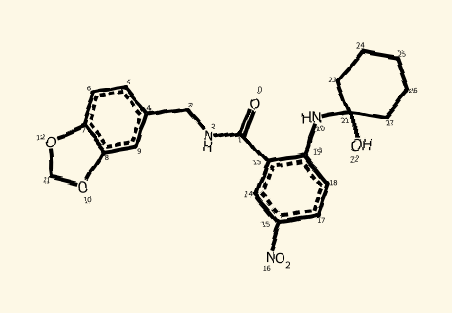 O=C(NCc1ccc2c(c1)OCO2)c1cc([N+](=O)[O-])ccc1NC1(O)CCCCC1